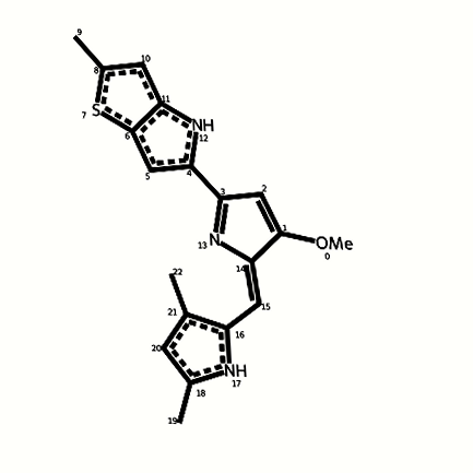 COC1=CC(c2cc3sc(C)cc3[nH]2)=NC1=Cc1[nH]c(C)cc1C